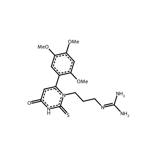 COc1cc(OC)c(-c2cc(=O)[nH]c(=S)n2CCCN=C(N)N)cc1OC